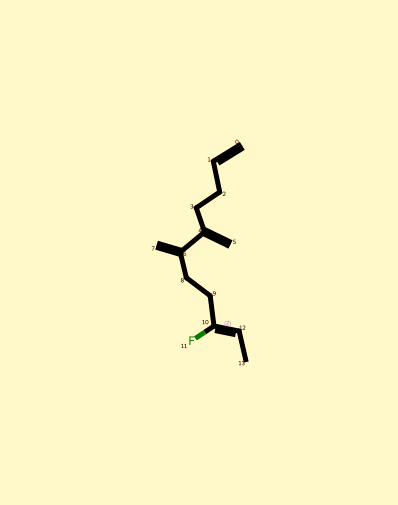 C=CCCC(=C)C(=C)CC/C(F)=C/C